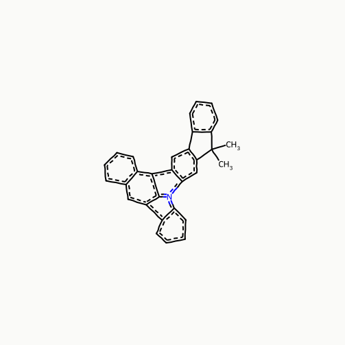 CC1(C)c2ccccc2-c2cc3c4c5ccccc5cc5c6ccccc6n(c3cc21)c54